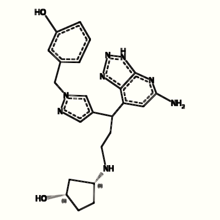 Nc1cc(C(CCN[C@@H]2CC[C@H](O)C2)c2cnn(Cc3cccc(O)c3)c2)c2nn[nH]c2n1